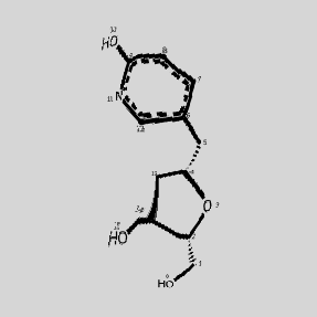 OC[C@H]1O[C@@H](Cc2ccc(O)nc2)CC1O